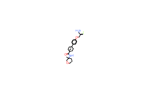 CC1(NC(=O)C23CCC(c4ccc(OC/C(=C/F)CN)cc4)(CC2)CC3)CCCOC1